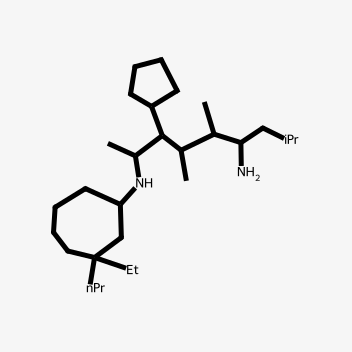 CCCC1(CC)CCCCC(NC(C)C(C2CCCC2)C(C)C(C)C(N)CC(C)C)C1